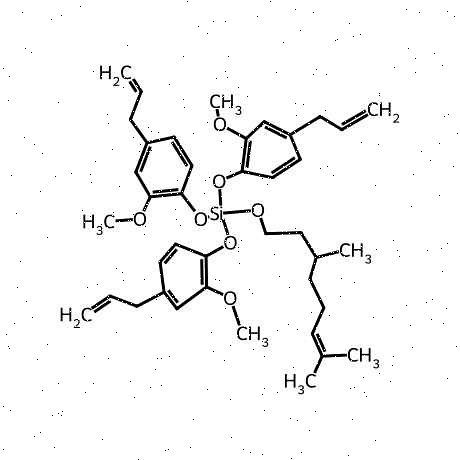 C=CCc1ccc(O[Si](OCCC(C)CCC=C(C)C)(Oc2ccc(CC=C)cc2OC)Oc2ccc(CC=C)cc2OC)c(OC)c1